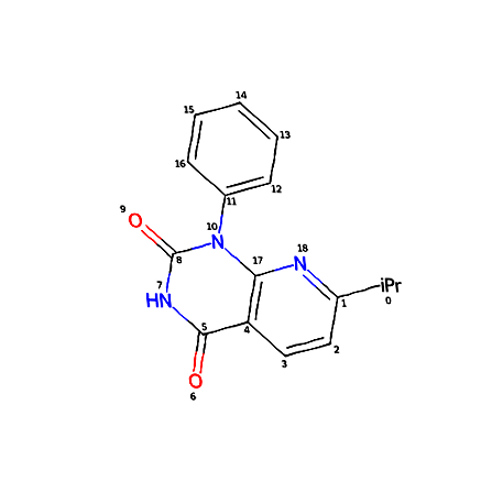 CC(C)c1ccc2c(=O)[nH]c(=O)n(-c3ccccc3)c2n1